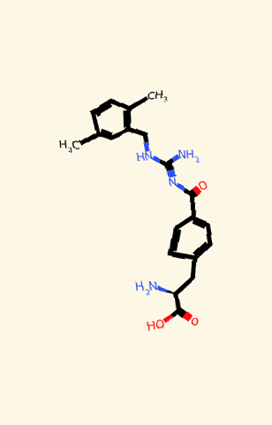 Cc1ccc(C)c(CN/C(N)=N/C(=O)c2ccc(C[C@H](N)C(=O)O)cc2)c1